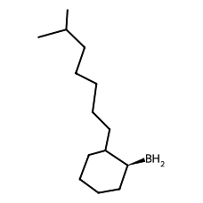 B[C@H]1CCCCC1CCCCCC(C)C